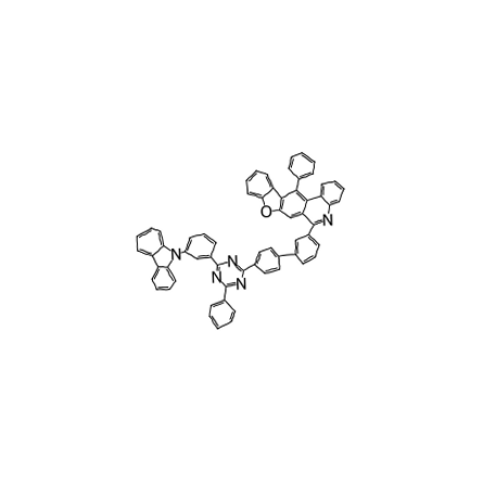 c1ccc(-c2nc(-c3ccc(-c4cccc(-c5nc6ccccc6c6c(-c7ccccc7)c7c(cc56)oc5ccccc57)c4)cc3)nc(-c3cccc(-n4c5ccccc5c5ccccc54)c3)n2)cc1